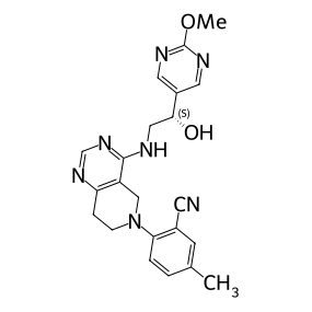 COc1ncc([C@H](O)CNc2ncnc3c2CN(c2ccc(C)cc2C#N)CC3)cn1